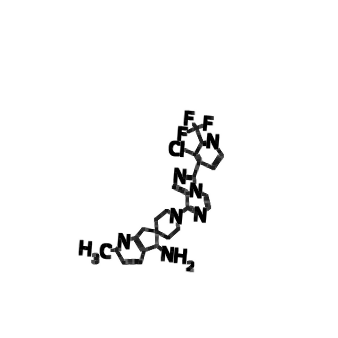 Cc1ccc2c(n1)CC1(CCN(c3nccn4c(-c5ccnc(C(F)(F)F)c5Cl)ncc34)CC1)C2N